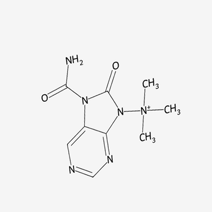 C[N+](C)(C)n1c(=O)n(C(N)=O)c2cncnc21